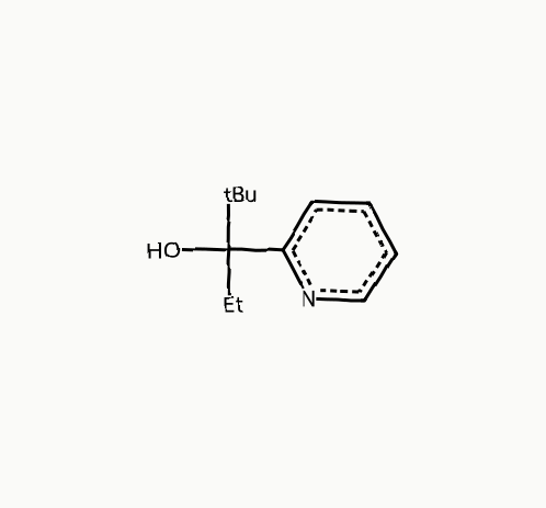 CCC(O)(c1ccccn1)C(C)(C)C